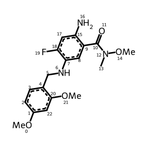 COc1ccc(CNc2cc(C(=O)N(C)OC)c(N)cc2F)c(OC)c1